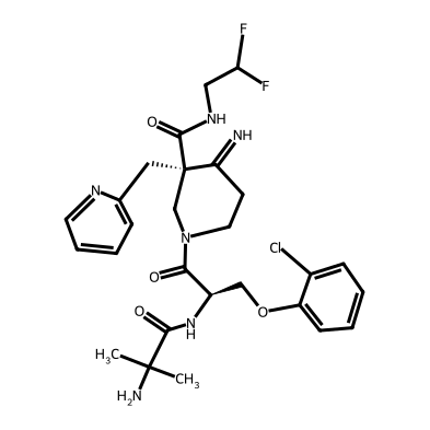 CC(C)(N)C(=O)N[C@H](COc1ccccc1Cl)C(=O)N1CCC(=N)[C@](Cc2ccccn2)(C(=O)NCC(F)F)C1